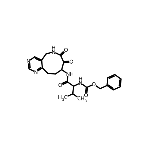 CC(C)C(NC(=O)OCc1ccccc1)C(=O)NC1CCc2ncncc2CNC(=O)C1=O